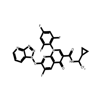 O=C(NC(C1CC1)C(F)(F)F)c1cn(-c2c(F)cc(F)cc2F)c2nc(On3nnc4ncccc43)c(F)cc2c1=O